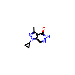 Cc1nn(C2CC2)c2cn[nH]c(=O)c12